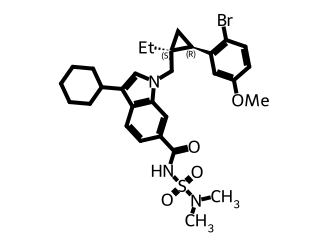 CC[C@]1(Cn2cc(C3CCCCC3)c3ccc(C(=O)NS(=O)(=O)N(C)C)cc32)C[C@H]1c1cc(OC)ccc1Br